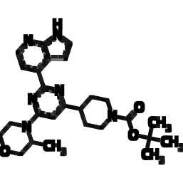 CC1COCCN1c1cc(C2CCN(C(=O)OC(C)(C)C)CC2)nc(-c2ccnc3[nH]ccc23)n1